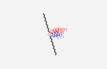 CCCCCCCCCCCCOCCCCCCCCCCCC.NCCO.NCCO.NCCO.O=S(=O)(O)O